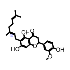 COc1cc(C2CC(=O)c3c(cc(O)c(C/C=C(\C)CCC=C(C)C)c3O)O2)ccc1O